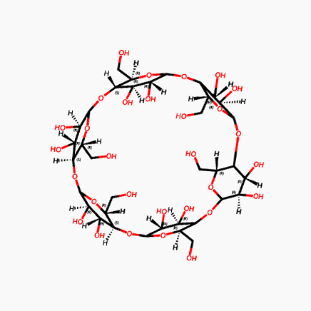 OC[C@H]1OC2OC3[C@@H](CO)OC(OC4[C@@H](CO)OC(O[C@H]5[C@H](O)[C@@H](O)C(O[C@H]6[C@H](O)[C@@H](O)C(O[C@H]7[C@H](O)[C@@H](O)C(OC1[C@H](O)[C@H]2O)O[C@@H]7CO)O[C@@H]6CO)O[C@@H]5CO)[C@H](O)[C@H]4O)[C@H](O)[C@H]3O